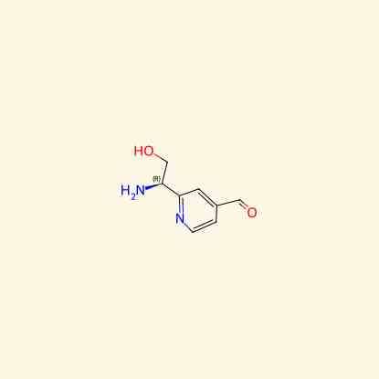 N[C@@H](CO)c1cc(C=O)ccn1